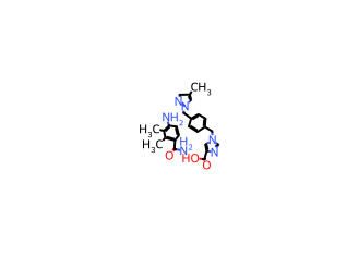 Cc1c(N)ccc(C(N)=O)c1C.Cc1cnn(Cc2ccc(Cn3cnc(C(=O)O)c3)cc2)c1